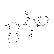 O=C1C2C3C=CC(C3)N2C(=O)N1c1c[nH]c2ccccc12